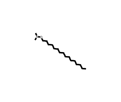 CCCCCCCCCCCCCCCCON(C)C